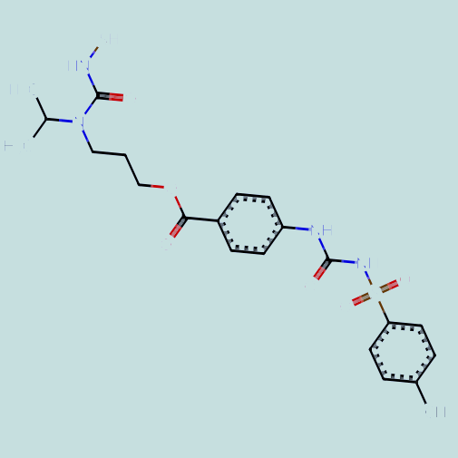 Cc1ccc(S(=O)(=O)NC(=O)Nc2ccc(C(=O)OCCCN(C(=O)NS)C(C)C)cc2)cc1